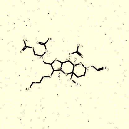 C=CC[C@@H]1CCC2(OC)O[C@H]3C(OCCCC)C(C[C@H](COC(C)=O)OC(C)=O)OC3[C@H](OC(C)=O)[C@H]2O1